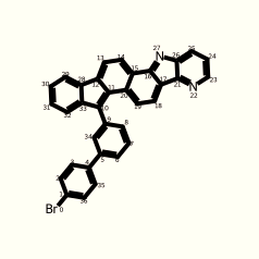 Brc1ccc(-c2cccc(C3=c4c(ccc5c6c(ccc45)-c4ncccc4N=6)-c4ccccc43)c2)cc1